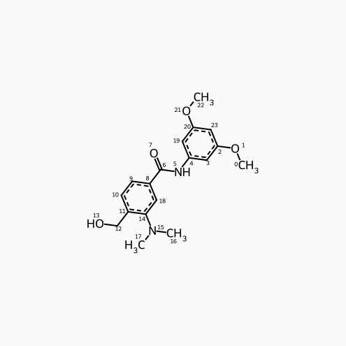 COc1cc(NC(=O)c2ccc(CO)c(N(C)C)c2)cc(OC)c1